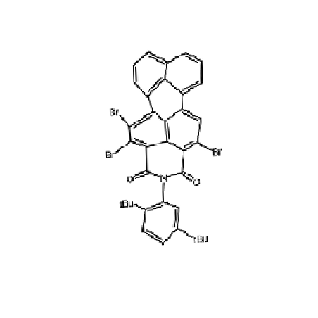 CC(C)(C)c1ccc(C(C)(C)C)c(N2C(=O)c3c(Br)cc4c5cccc6cccc(c7c(Br)c(Br)c(c3c47)C2=O)c65)c1